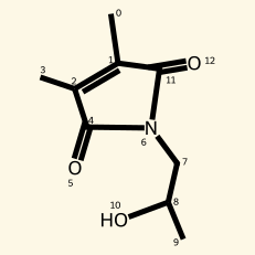 CC1=C(C)C(=O)N(CC(C)O)C1=O